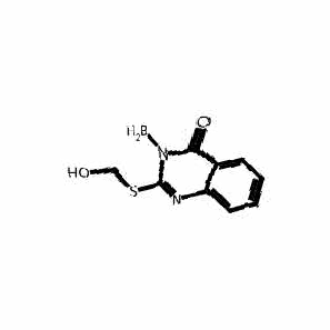 Bn1c(SCO)nc2ccccc2c1=O